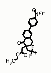 CCOC(=O)CC1(CC(F)(F)F)CCc2cc(-c3ccc([N+](=O)[O-])cc3)ccc2C1=O